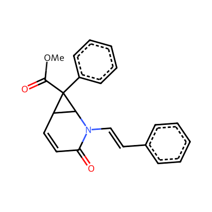 COC(=O)C1(c2ccccc2)C2C=CC(=O)N(C=Cc3ccccc3)C21